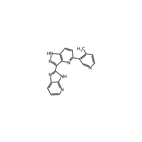 Cc1ccncc1-c1ccc2[nH]nc(-c3nc4cccnc4[nH]3)c2n1